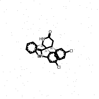 O=C1C[C@H](c2cccc(Cl)c2)[C@@]2(C(=O)Nc3cc(Cl)ccc32)[C@H](c2ccccc2Br)N1